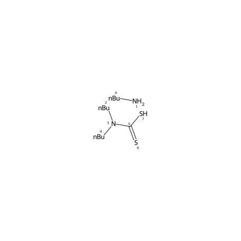 CCCCN.CCCCN(CCCC)C(=S)S